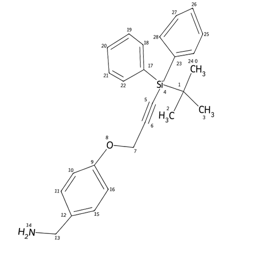 CC(C)(C)[Si](C#CCOc1ccc(CN)cc1)(c1ccccc1)c1ccccc1